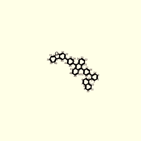 c1ccc(-c2cccc3ccccc23)c(-c2ccc(-c3c4ccccc4c(-c4ccc(-c5ccc6oc7ccccc7c6c5)cc4)c4ccccc34)cc2)c1